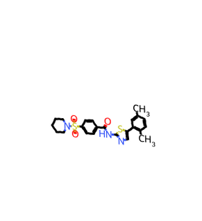 Cc1ccc(C)c(-c2cnc(NC(=O)c3ccc(S(=O)(=O)N4CCCCC4)cc3)s2)c1